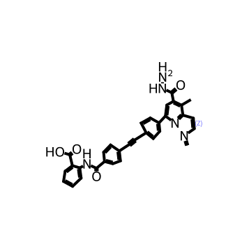 C=N/C=C\c1nc(-c2ccc(C#Cc3ccc(C(=O)Nc4ccccc4C(=O)O)cc3)cc2)cc(C(=O)NN)c1C